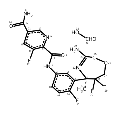 C[C@]1(c2cc(NC(=O)c3ncc(C(N)=O)cc3F)ccc2F)N=C(N)COCC1(F)F.O=CO